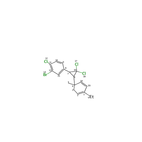 CCC1=CCC(C)(C2C(c3ccc(Cl)c(Br)c3)C2(Cl)Cl)C=C1